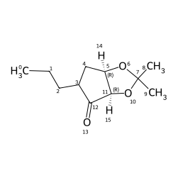 CCCC1C[C@H]2OC(C)(C)O[C@H]2C1=O